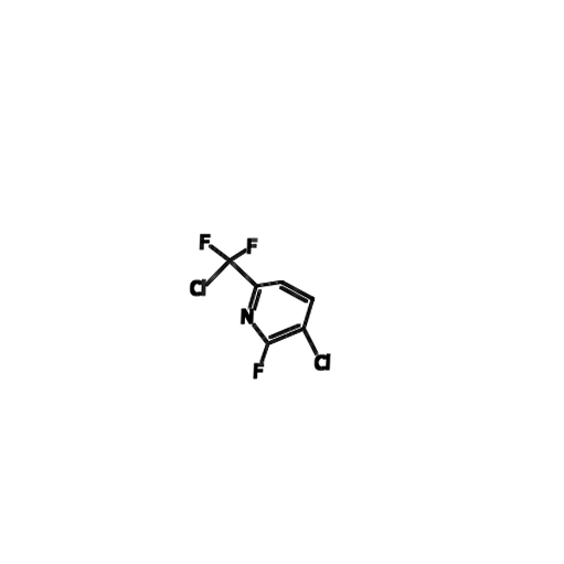 Fc1nc(C(F)(F)Cl)ccc1Cl